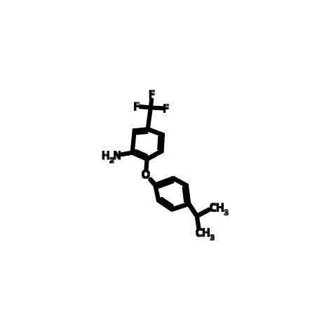 CC(C)c1ccc(Oc2ccc(C(F)(F)F)cc2N)cc1